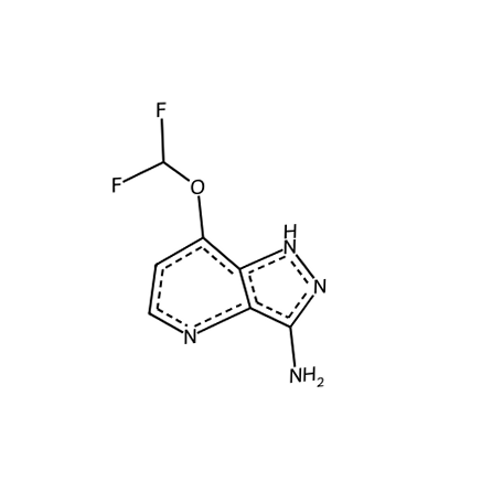 Nc1n[nH]c2c(OC(F)F)ccnc12